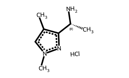 Cc1cn(C)nc1[C@@H](C)N.Cl